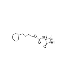 C[C@@H]1NC(=O)C1NC(=O)OCCCCC1CCCCC1